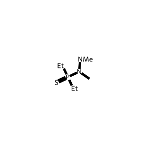 CCP(=S)(CC)N(C)NC